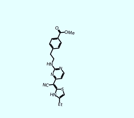 CCC1=CSC(=C(C#N)c2ccnc(NCCc3ccc(C(=O)OC)cc3)n2)N1